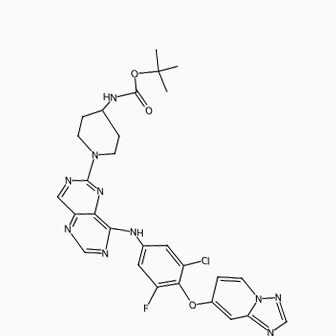 CC(C)(C)OC(=O)NC1CCN(c2ncc3ncnc(Nc4cc(F)c(Oc5ccn6ncnc6c5)c(Cl)c4)c3n2)CC1